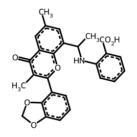 Cc1cc(C(C)Nc2ccccc2C(=O)O)c2oc(-c3cccc4c3OCO4)c(C)c(=O)c2c1